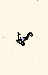 C=CC(Cc1ccccc1)C(CCCC(C)C)CC(C)N1CCC(c2ccccc2)C1